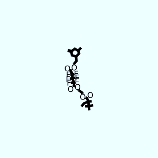 C=C1CC(C)CC(CCOC(=O)C(F)(F)C(F)(F)C(F)(F)C(=O)OCCOC(=O)C(C)(CC)C(C)(C)C)C1